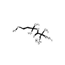 CC(C)OCCC(C)(C)OC(=O)C(C)(C)P